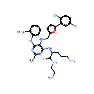 Cc1nc(Nc2ccccc2C(=O)O)c(NCc2ccc(-c3cc(Cl)ccc3Cl)o2)c(NC(CCCN)C(=O)NCCN)n1